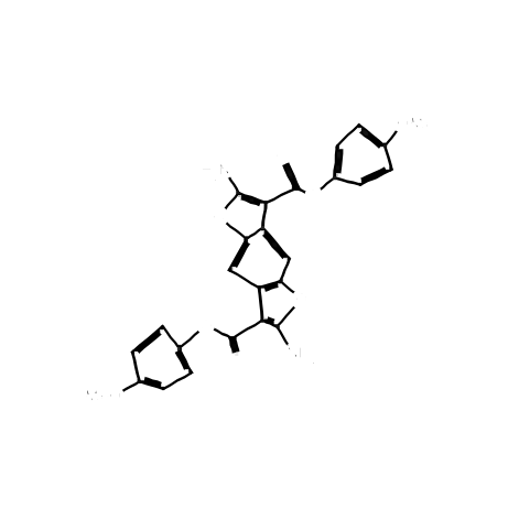 COc1ccc(OC(=O)c2c(N)oc3cc4c(C(=O)Oc5ccc(OC)cc5)c(N)oc4cc23)cc1